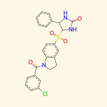 O=C1NC(c2ccccc2)C(S(=O)(=O)c2ccc3c(c2)CCN3C(=O)c2cccc(Cl)c2)N1